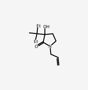 C=CCN1CCC(O)(C(C)(CC)CC)C1=O